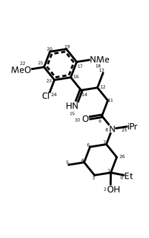 CCC1(O)CC(C)CC(N(C(=O)CC(C)C(=N)c2c(NC)ccc(OC)c2Cl)C(C)C)C1